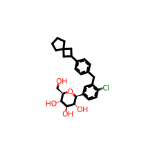 OC[C@H]1O[C@@H](c2ccc(Cl)c(Cc3ccc(C4CC5(CCCC5)C4)cc3)c2)[C@H](O)[C@@H](O)[C@@H]1O